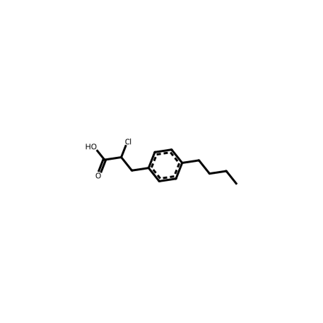 CCCCc1ccc(CC(Cl)C(=O)O)cc1